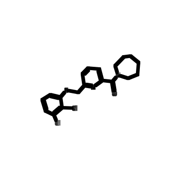 O=C(c1cccc(CSc2cccc(Cl)c2Cl)n1)N1CCCCCC1